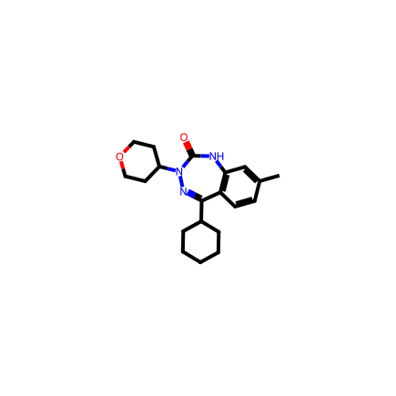 Cc1ccc2c(c1)NC(=O)N(C1CCOCC1)N=C2C1CCCCC1